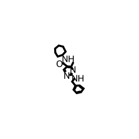 Cc1nc(NCc2ccccc2)ncc1C(=O)NC1CCCCCC1